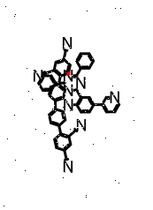 N#Cc1ccc(-c2ccc3c4ccc(-c5ccc(C#N)cc5C#N)cc4n(-c4ccc(-c5cccnc5)cc4-c4nc(-c5ccccc5)nc(-c5ccccc5)n4)c3c2)c(C#N)c1